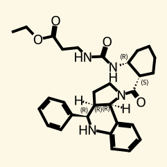 CCOC(=O)CCNC(=O)N[C@@H]1CCCC[C@@H]1C(=O)N1CC[C@@H]2[C@H](c3ccccc3)Nc3ccccc3[C@@H]21